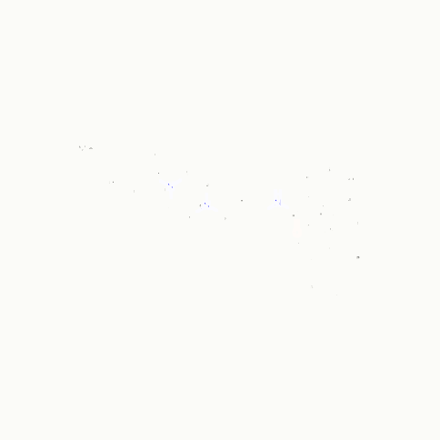 COc1ccc(N2CCN(CCCNC(=O)C34CC5CC(C3)CC(c3ccccc3)(C5)C4)CC2)cc1